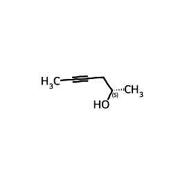 CC#CC[C@H](C)O